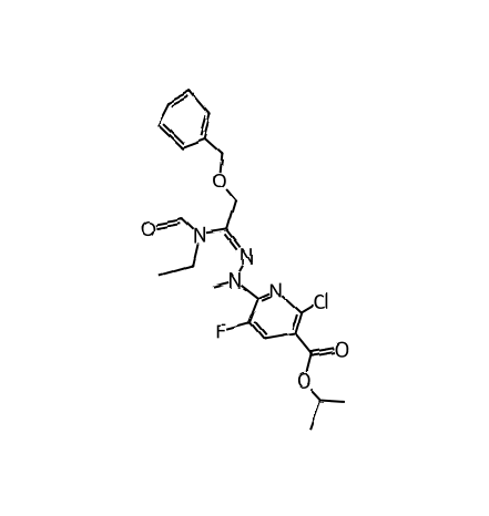 CCN(C=O)/C(COCc1ccccc1)=N\N(C)c1nc(Cl)c(C(=O)OC(C)C)cc1F